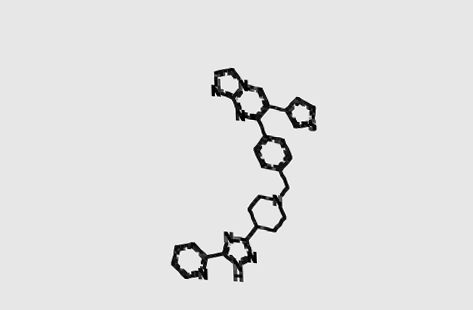 c1ccc(-c2nc(C3CCN(Cc4ccc(-c5nc6nccn6cc5-c5ccsc5)cc4)CC3)n[nH]2)nc1